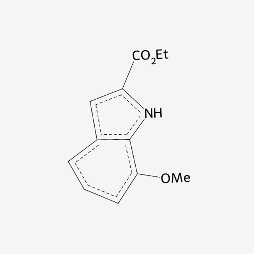 CCOC(=O)c1cc2cccc(OC)c2[nH]1